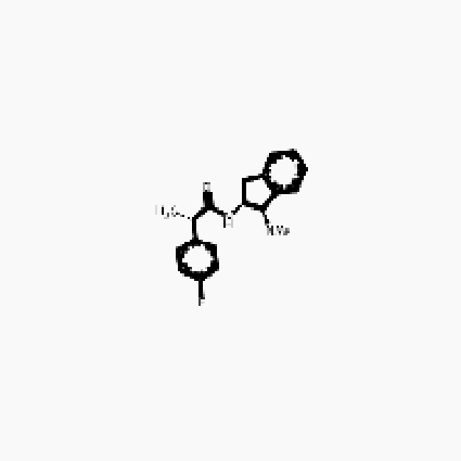 CN[C@@H]1c2ccccc2C[C@@H]1NC(=O)[C@@H](C)c1ccc(F)cc1